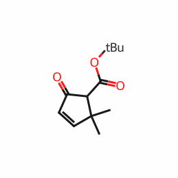 CC(C)(C)OC(=O)C1C(=O)C=CC1(C)C